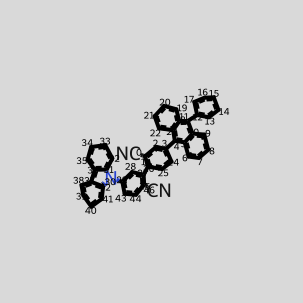 N#Cc1cc(-c2c3ccccc3c(-c3ccccc3)c3ccccc23)ccc1-c1cc(-n2c3ccccc3c3ccccc32)ccc1C#N